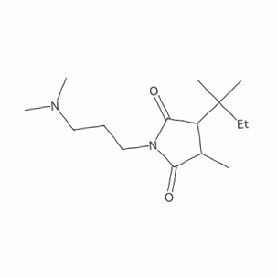 CCC(C)(C)C1C(=O)N(CCCN(C)C)C(=O)C1C